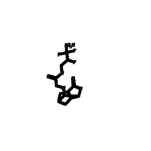 O=C(COC1C2CC3C(=O)OC1C3C2)OCC(F)C(F)(F)S(=O)(=O)O